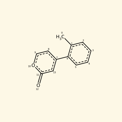 Cc1ccccc1-c1ccoc(=O)c1